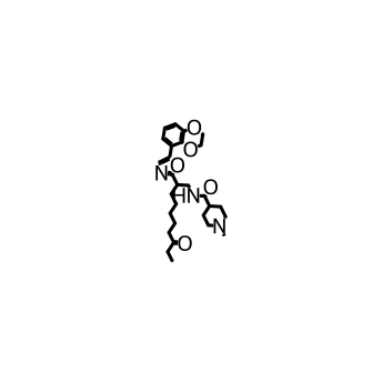 CCC(=O)CCCCCC(CNC(=O)C1CCN(C)CC1)c1ncc(-c2cccc3c2OCCO3)o1